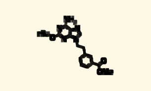 CCCCOc1nc(N)c2ncn(CCc3cccc(C(=O)OC)c3)c2n1